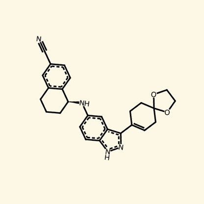 N#Cc1ccc2c(c1)CCC[C@@H]2Nc1ccc2[nH]nc(C3=CCC4(CC3)OCCO4)c2c1